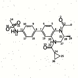 CC(=O)N1c2ccc(-c3ccc(NS(C)(=O)=O)cc3)cc2N(C(=O)C2CC2)C[C@@H]1C